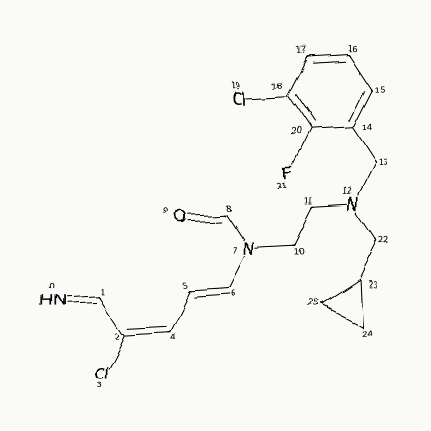 N=C/C(Cl)=C\C=C\N(C=O)CCN(Cc1cccc(Cl)c1F)CC1CC1